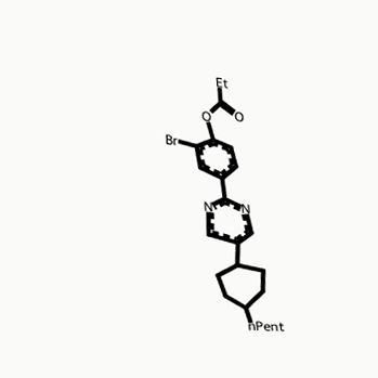 CCCCCC1CCC(c2cnc(-c3ccc(OC(=O)CC)c(Br)c3)nc2)CC1